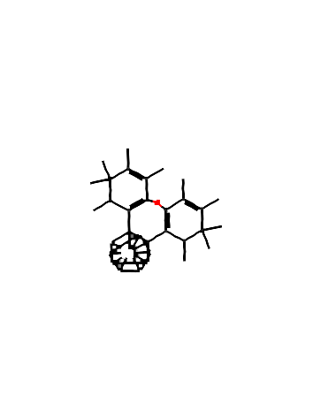 CC1=C(C)C(C)(C)C(C)C([C]23[CH]4[CH]5[CH]6[C]2(C2=C(C)C(C)=C(C)C(C)(C)C2C)[Fe]54632789[CH]3[CH]2[CH]7[CH]8[CH]39)=C1C